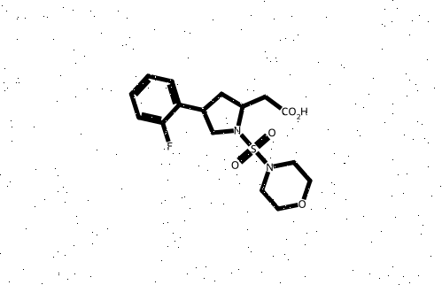 O=C(O)CC1CC(c2ccccc2F)CN1S(=O)(=O)N1CCOCC1